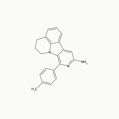 Cc1ccc(-c2nc(N)cc3c4cccc5c4n(c23)CCC5)cc1